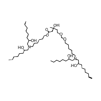 C=CCCCCCC(O)CN(CCCCCCOCOCCC(C)(O)CC(=O)OCCCCCCN(CC(O)CCCCCC)CC(O)CCCCCC)CC(O)CCCCCC